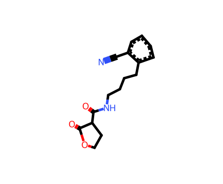 N#Cc1ccccc1CCCCNC(=O)C1CCOC1=O